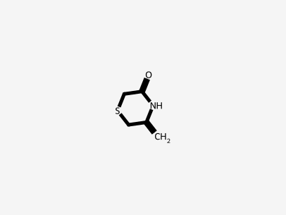 C=C1CSCC(=O)N1